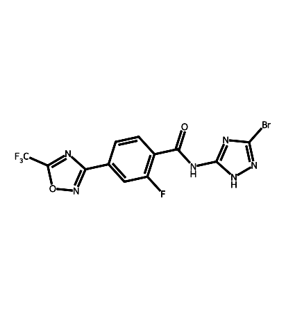 O=C(Nc1nc(Br)n[nH]1)c1ccc(-c2noc(C(F)(F)F)n2)cc1F